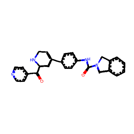 O=C(c1ccncc1)C1CC(c2ccc(NC(=O)N3Cc4ccccc4C3)cc2)=CCN1